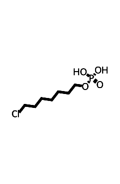 O=P(O)(O)OCCCCCCCCl